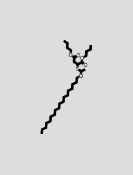 CCCCCCCCCCCCCCCCCCOC(C)SC(CC(=O)OCCCC)C(=O)OCCCC